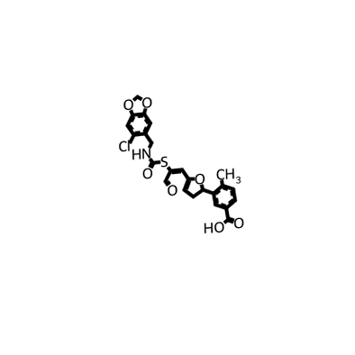 Cc1ccc(C(=O)O)cc1C1CC=C(/C=C(\C=O)SC(=O)NCc2cc3c(cc2Cl)OCO3)O1